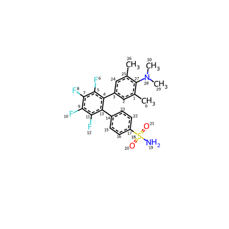 Cc1cc(-c2c(F)c(F)c(F)c(F)c2-c2ccc(S(N)(=O)=O)cc2)cc(C)c1N(C)C